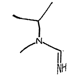 CC(C)N(C)[C]=N